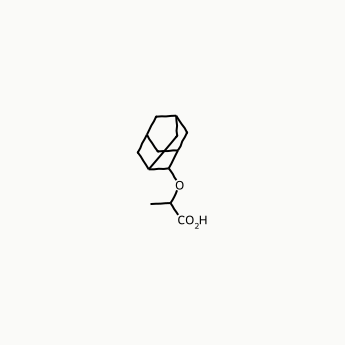 CC(OC1C2CC3CC(C2)CC1C3)C(=O)O